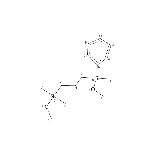 CO[Si](C)(C)CCC[Si](C)(OC)c1ccccc1